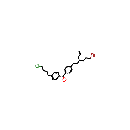 C=CCC(CCCBr)CCc1ccc(C(=O)c2ccc(CCCCCl)cc2)cc1